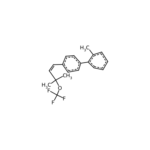 Cc1ccccc1-c1ccc(/C=C\C(C)(C)OC(F)(F)F)cc1